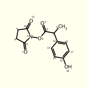 CC(C(=O)ON1C(=O)CCC1=O)c1ccc(O)cc1